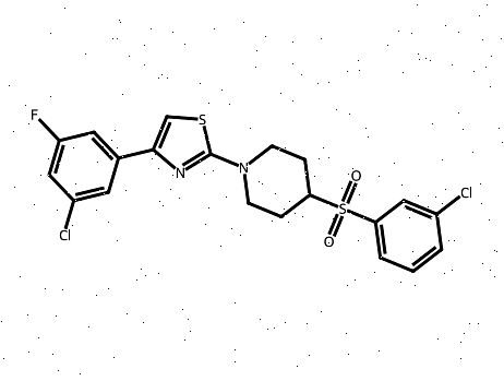 O=S(=O)(c1cccc(Cl)c1)C1CCN(c2nc(-c3cc(F)cc(Cl)c3)cs2)CC1